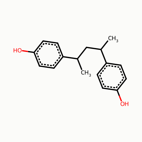 CC(CC(C)c1ccc(O)cc1)c1ccc(O)cc1